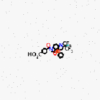 O=C(O)C1CCC(C(=O)N2CCC3(S(=O)(=O)c4ccccc4)c4ccc(C(F)(C(F)(F)F)C(F)(F)F)nc4CCC23)CC1